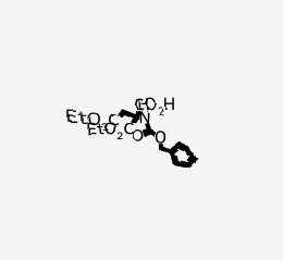 CCOC(=O)CC(NC(=O)OCc1ccccc1)(C(=O)O)C(=O)OCC